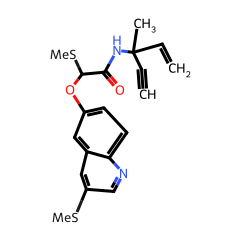 C#CC(C)(C=C)NC(=O)C(Oc1ccc2ncc(SC)cc2c1)SC